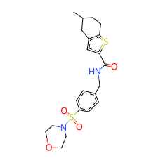 CC1CCc2sc(C(=O)NCc3ccc(S(=O)(=O)N4CCOCC4)cc3)cc2C1